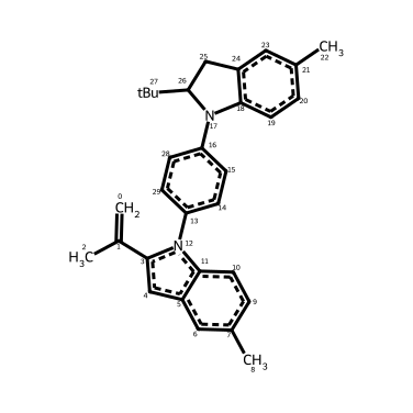 C=C(C)c1cc2cc(C)ccc2n1-c1ccc(N2c3ccc(C)cc3CC2C(C)(C)C)cc1